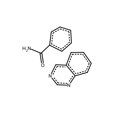 NC(=O)c1ccccc1.c1ccc2ncncc2c1